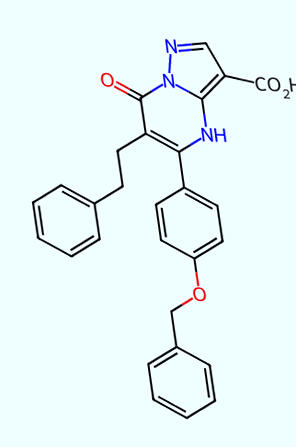 O=C(O)c1cnn2c(=O)c(CCc3ccccc3)c(-c3ccc(OCc4ccccc4)cc3)[nH]c12